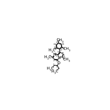 CCC(CC)OC1=CC(C)=NC2=C(c3c(C)cc(C)cc3C)SC(C)N12